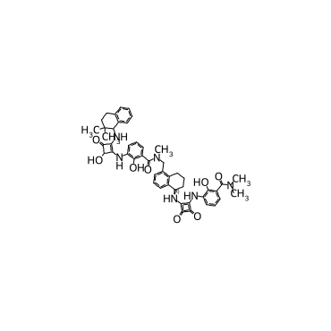 CN(C)C(=O)c1cccc(Nc2c(N[C@@H]3CCCc4c(CN(C)C(=O)c5cccc(NC6=C(NC7c8ccccc8CCC7(C)C)C(=O)C6O)c5O)cccc43)c(=O)c2=O)c1O